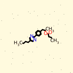 CCCCc1cnc(-c2ccc(CC(C)OC(=O)CCC)cc2)nc1